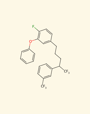 Fc1ccc(CCCC(c2cccc(C(F)(F)F)c2)C(F)(F)F)cc1Oc1ccccc1